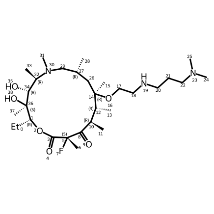 CC[C@H]1OC(=O)[C@@](C)(F)C(=O)[C@H](C)[C@@H](C)[C@](C)(OCCNCCCN(C)C)C[C@@H](C)CN(C)[C@H](C)[C@@H](O)[C@]1(C)O